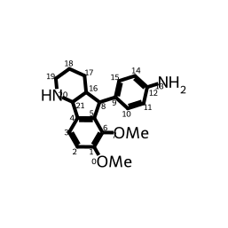 COc1ccc2c(c1OC)C(c1ccc(N)cc1)C1CCCNC21